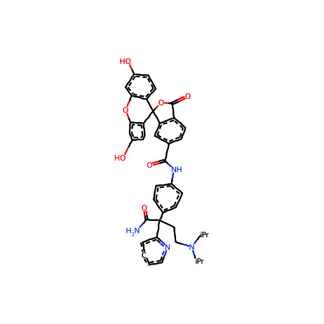 CC(C)N(CCC(C(N)=O)(c1ccc(NC(=O)c2ccc3c(c2)C2(OC3=O)c3ccc(O)cc3Oc3cc(O)ccc32)cc1)c1ccccn1)C(C)C